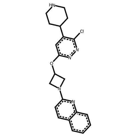 Clc1nnc(OC2CN(c3ccc4ccccc4n3)C2)cc1C1CCNCC1